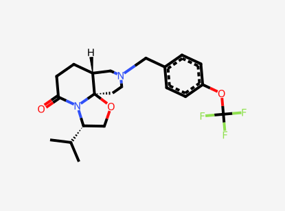 CC(C)[C@H]1CO[C@]23CCN(Cc4ccc(OC(F)(F)F)cc4)C[C@H]2CCC(=O)N13